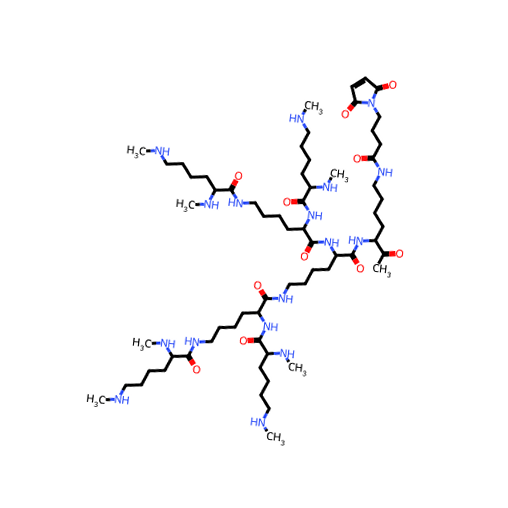 CNCCCCC(NC)C(=O)NCCCCC(NC(=O)C(CCCCNC)NC)C(=O)NCCCCC(NC(=O)C(CCCCNC(=O)C(CCCCNC)NC)NC(=O)C(CCCCNC)NC)C(=O)NC(CCCCNC(=O)CCCN1C(=O)C=CC1=O)C(C)=O